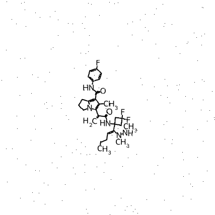 C=C(C(=O)NC1(/C(=C/CCC)N(C)NC)CC(F)(F)C1)c1c(C)c(C(=O)Nc2ccc(F)cc2)c2n1CCC2